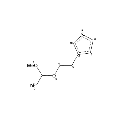 CCCC(OC)OCCc1ccsc1